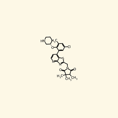 Cc1cc(Cl)cc(-c2ccnc3nc(CN4C(=O)C(C)C(C)(C)C4=O)sc23)c1O[C@H]1CCCNC1